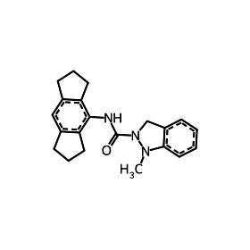 CN1c2ccccc2CN1C(=O)Nc1c2c(cc3c1CCC3)CCC2